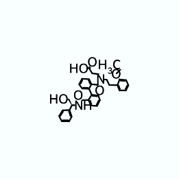 CCOc1ccccc1CCN(CCC(=O)O)C(=O)c1ccccc1-c1ccccc1C(=O)N[C@H](CO)c1ccccc1